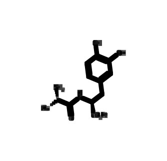 CCOC(=O)[C@H](Cc1ccc(O)c(O)c1)NC(=O)[C@@H](N)[C@@H](C)CC